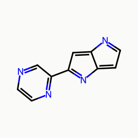 C1=NC2=CC(c3cnccn3)=NC2=C1